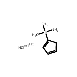 Cl.Cl.Cl.[BH2][Ti]([CH3])([CH3])[C]1=CC=CC1